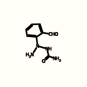 NC(=O)NN(N)c1ccccc1C=O